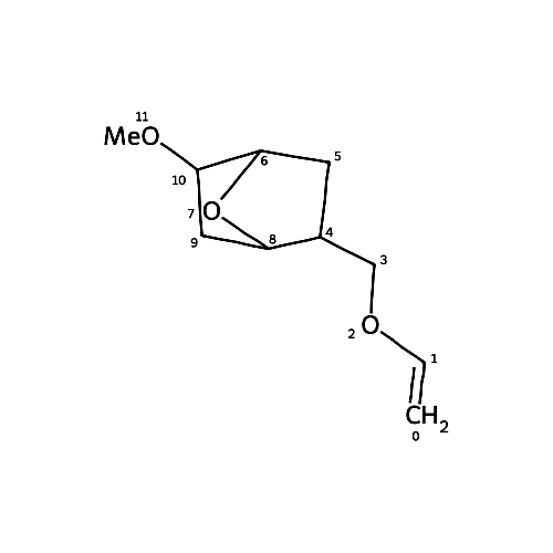 C=COCC1CC2OC1CC2OC